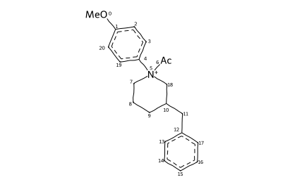 COc1ccc([N+]2(C(C)=O)CCCC(Cc3ccccc3)C2)cc1